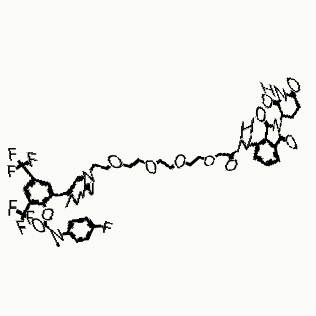 CN(C(=O)Oc1c(-c2cn(CCOCCOCCOCCOCC(=O)Nc3cccc4c3C(=O)N(C3CCC(=O)NC3=O)C4=O)nn2)cc(C(F)(F)F)cc1C(F)(F)F)c1ccc(F)cc1